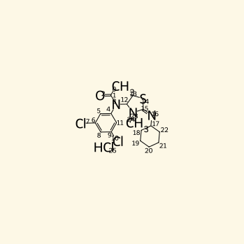 CC(=O)N(c1cc(Cl)cc(Cl)c1)C1CSC(=NC2CCCCC2)N1C.Cl